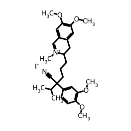 COc1ccc(C(C#N)(CCCC2Cc3cc(OC)c(OC)cc3C=[N+]2C)C(C)C)cc1OC.[I-]